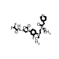 CCN(CCN(OC)C(=O)Cc1ccncc1)c1ccc(N2C[C@H](CNC(=O)C(F)F)OC2=O)cc1F